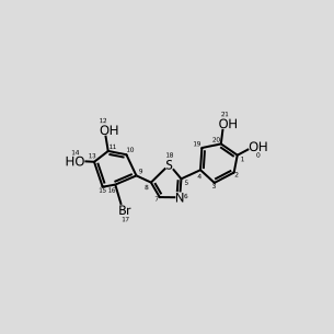 Oc1ccc(-c2ncc(-c3cc(O)c(O)cc3Br)s2)cc1O